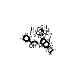 CC(C)(C)[Si](C)(C)O[C@@H]1C[C@H]2CC3(C[C@H]2[C@H]1/C=C/[C@@H](O)C1CCCCC1)OCCO3